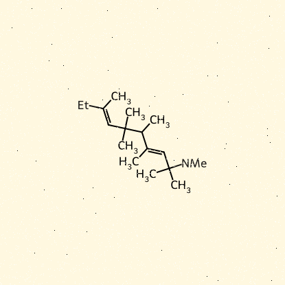 CC/C(C)=C/C(C)(C)C(C)/C(C)=C/C(C)(C)NC